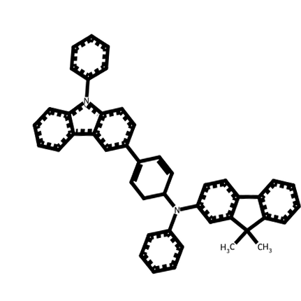 CC1(C)c2ccccc2-c2ccc(N(c3ccccc3)C3C=CC(c4ccc5c(c4)c4ccccc4n5-c4ccccc4)=CC3)cc21